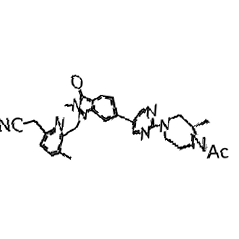 CC(=O)N1CCN(c2ncc(-c3ccc4c(=O)n(C)n(Cc5nc(CC#N)ccc5C)c4c3)cn2)C[C@H]1C